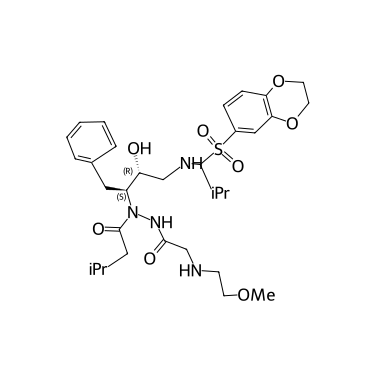 COCCNCC(=O)NN(C(=O)CC(C)C)[C@@H](Cc1ccccc1)[C@H](O)CNC(C(C)C)S(=O)(=O)c1ccc2c(c1)OCCO2